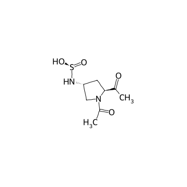 CC(=O)[C@@H]1C[C@@H](N[S@](=O)O)CN1C(C)=O